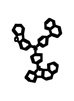 c1ccc2c(-c3ccc(N(c4ccc(-n5c6ccccc6c6ccc7ccccc7c65)cc4)c4ccc5oc6ccccc6c5c4)cc3)cccc2c1